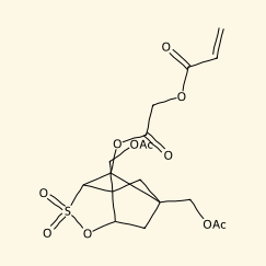 C=CC(=O)OCC(=O)OC1C2C3(COC(C)=O)CC1(COC(C)=O)CC3OS2(=O)=O